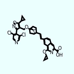 O=C(O)c1cc2ccc(/C=C/C34CCC(OCc5c(-c6c(Cl)cncc6Cl)noc5C5CC5)(CC3)CC4)cc2c(OC2CC2)n1